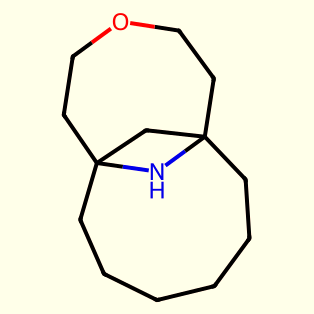 C1CCCC23CCOCCC(CC1)(C2)N3